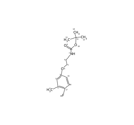 Cc1cc(OCCNC(=O)OC(C)(C)C)ccc1F